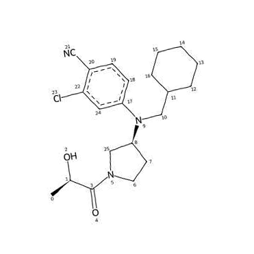 C[C@@H](O)C(=O)N1CC[C@H](N(CC2CCCCC2)c2ccc(C#N)c(Cl)c2)C1